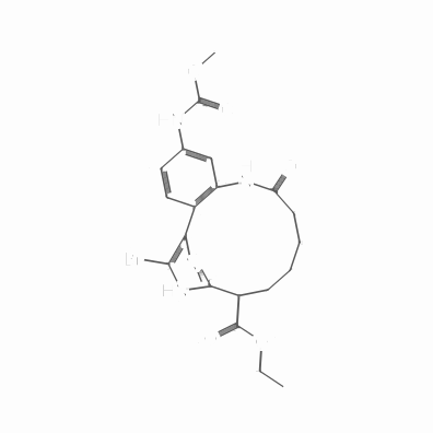 CCOC(=O)C1CCCCC(=O)Nc2cc(NC(=O)OC)ccc2-c2nc1[nH]c2Br